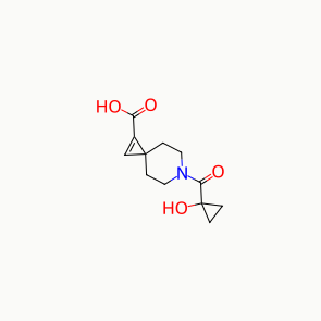 O=C(O)C1=CC12CCN(C(=O)C1(O)CC1)CC2